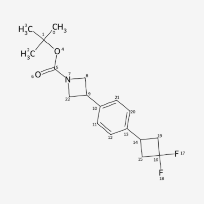 CC(C)(C)OC(=O)N1CC(c2ccc(C3CC(F)(F)C3)cc2)C1